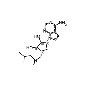 CC(C)CN(C)C[C@H]1C[C@@H](n2ccc3c(N)ncnc32)[C@H](O)[C@@H]1O